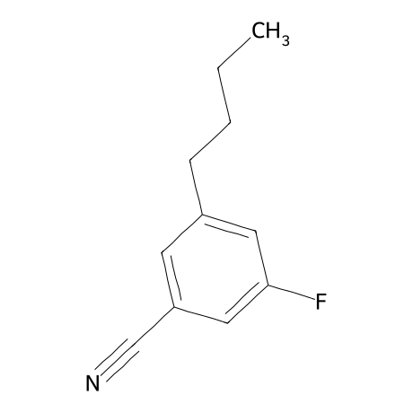 CCCCc1cc(F)cc(C#N)c1